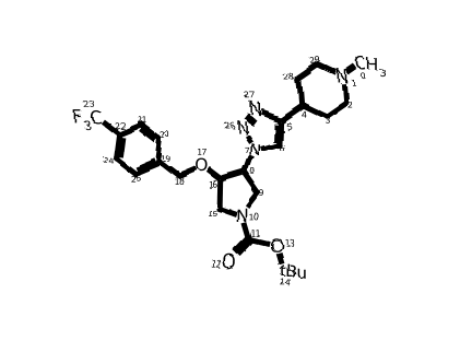 CN1CCC(c2cn(C3CN(C(=O)OC(C)(C)C)CC3OCc3ccc(C(F)(F)F)cc3)nn2)CC1